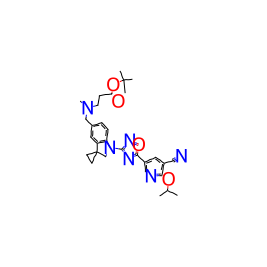 CC(C)Oc1ncc(-c2nc(N3CC4(CC4)c4cc(CN(C)CCC(=O)OC(C)(C)C)ccc43)no2)cc1C#N